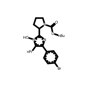 CCCCOC(=O)N1CCCC1c1nc(-c2ccc(Br)cc2)c(CCC)n1O